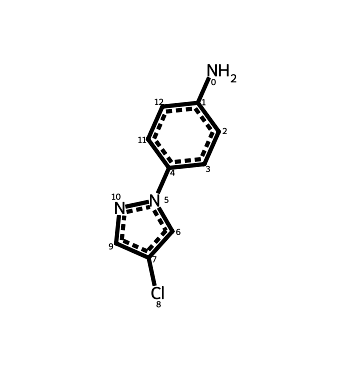 Nc1ccc(-n2cc(Cl)cn2)cc1